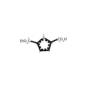 CCOC(=O)c1ccc(C(=O)O)s1